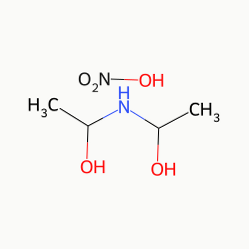 CC(O)NC(C)O.O=[N+]([O-])O